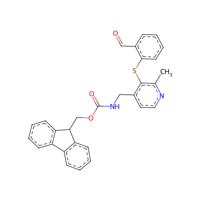 Cc1nccc(CNC(=O)OCC2c3ccccc3-c3ccccc32)c1Sc1ccccc1C=O